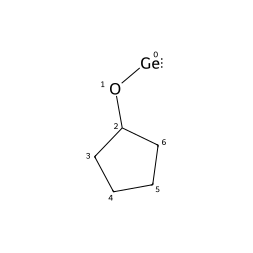 [Ge][O]C1CCCC1